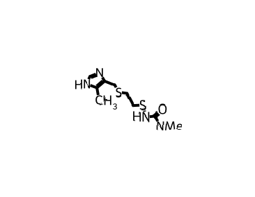 CNC(=O)NSCCSCc1nc[nH]c1C